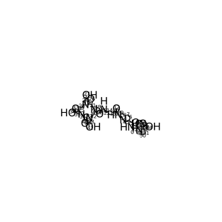 C[C@@H](NC(=O)c1ccc(CNC(=O)CCCNC(=O)CN2CCN(CC(=O)O)CCN(CC(=O)O)CCN(CC(=O)O)CC2)nc1)C(=O)N1CCC[C@H]1B(O)O